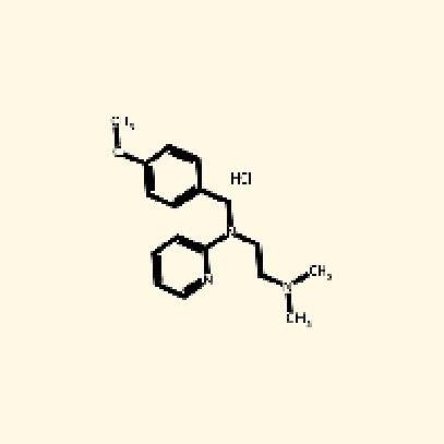 COc1ccc(CN(CCN(C)C)c2ccccn2)cc1.Cl